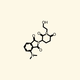 CN(C)c1cccc2c1C(=O)N(C1CCC(=O)N(CCO)C1=O)C2=O